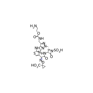 NCCOC(=O)NCc1cnn(C[C@H]2C(NC(=O)/C(=N\OC3(C(=O)O)CC3)c3csc(N)n3)C(=O)N2S(=O)(=O)O)n1